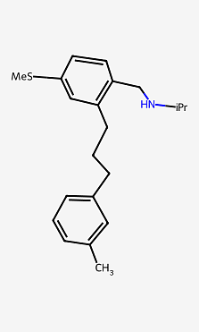 CSc1ccc(CNC(C)C)c(CCCc2cccc(C)c2)c1